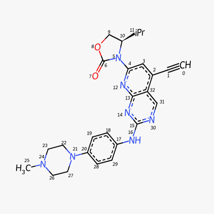 C#Cc1cc(N2C(=O)OC[C@H]2C(C)C)nc2nc(Nc3ccc(N4CCN(C)CC4)cc3)ncc12